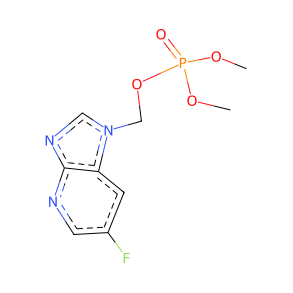 COP(=O)(OC)OCn1cnc2ncc(F)cc21